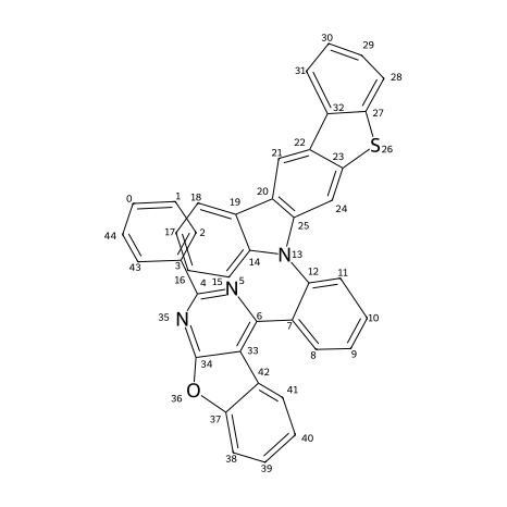 c1ccc(-c2nc(-c3ccccc3-n3c4ccccc4c4cc5c(cc43)sc3ccccc35)c3c(n2)oc2ccccc23)cc1